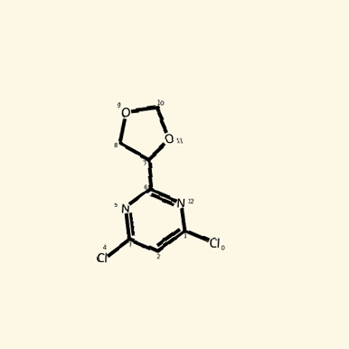 Clc1cc(Cl)nc(C2COCO2)n1